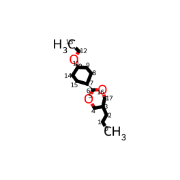 CCCC1COC([C@H]2CC[C@H](OCC)CC2)OC1